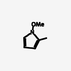 COn1cccc1C